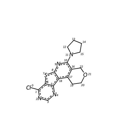 Clc1ncnc2c1sc1nc(N3CCCC3)c3c(c12)CCOC3